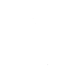 CCCc1cccc(C2=C[CH]([Zr]([C]3=C(C)C(C)=C(C)C3C)=[Si](C)C)c3ccccc32)c1.Cl.Cl